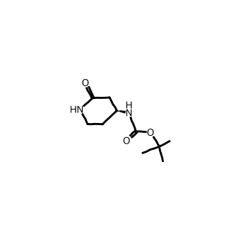 CC(C)(C)OC(=O)N[C@H]1CCNC(=O)C1